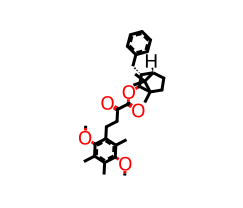 COc1c(C)c(C)c(OC)c(CCC(=O)C(=O)OC2[C@H](Cc3ccccc3)[C@H]3CCC2(C)C3(C)C)c1C